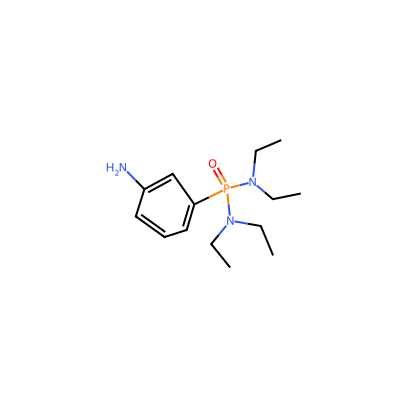 CCN(CC)P(=O)(c1cccc(N)c1)N(CC)CC